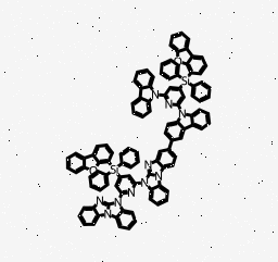 c1ccc([Si](c2ccccc2)(c2cc(-n3c4ccccc4c4ccccc43)nc(-n3c4ccccc4c4cc(-c5ccc6c(c5)nc5n(-c7cc([Si](c8ccccc8)(c8ccccc8)c8cccc9c8oc8ccccc89)cc(-n8c9ccccc9n9c%10ccccc%10nc89)n7)c7ccccc7n65)ccc43)c2)c2cccc3c2oc2ccccc23)cc1